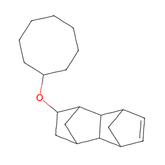 C1=CC2CC1C1C3CC(OC4CCCCCCC4)C(C3)C21